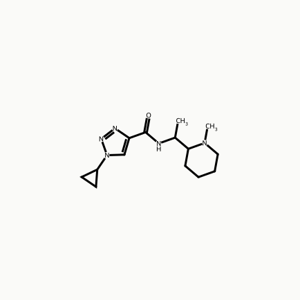 CC(NC(=O)c1cn(C2CC2)nn1)C1CCCCN1C